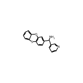 NC(c1cccnc1)c1ccc2c(c1)Oc1ccccc1S2